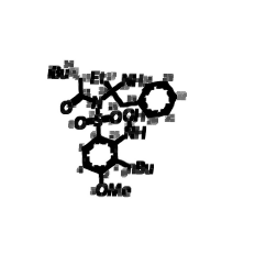 CCCCc1c(OC)ccc(S(=O)(=O)N(C(=O)C[C@@H](C)CC)[C@@](N)(CC)Cc2ccccc2)c1NO